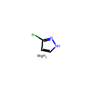 Brc1cc[nH]n1.[MgH2]